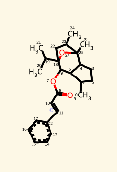 CC1CCC2C1C(OC(=O)/C=C/c1ccccc1)C1(C(C)C)CC(C)C2(C)O1